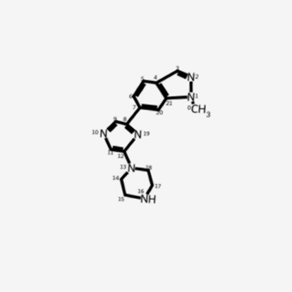 Cn1ncc2ccc(-c3cncc(N4CCNCC4)n3)cc21